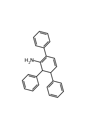 NC1=C(c2ccccc2)C=CC(c2ccccc2)C1c1ccccc1